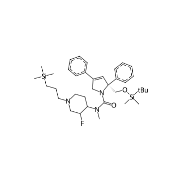 CN(C(=O)N1CC(c2ccccc2)=C[C@@]1(CO[Si](C)(C)C(C)(C)C)c1ccccc1)C1CCN(CCC[Si](C)(C)C)CC1F